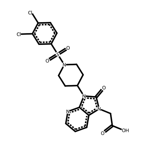 O=C(O)Cn1c(=O)n(C2CCN(S(=O)(=O)c3ccc(Cl)c(Cl)c3)CC2)c2ncccc21